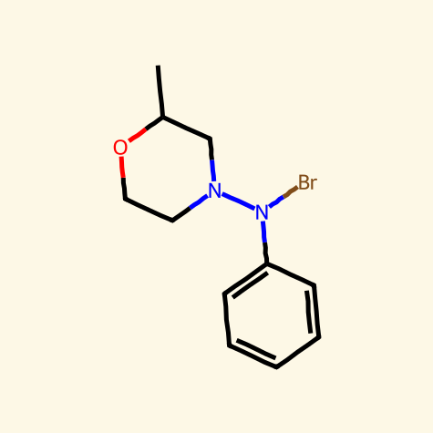 CC1CN(N(Br)c2ccccc2)CCO1